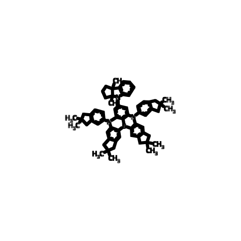 CC1(C)Cc2ccc(N3c4cc5c(cc4B4c6cc7c(cc6N(c6ccc8c(c6)CC(C)(C)C8)c6cc(N8c9ccccc9C9(C)CCCC89C)cc3c64)CC(C)(C)C7)CC(C)(C)C5)cc2C1